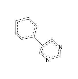 [c]1ncncc1-c1ccccc1